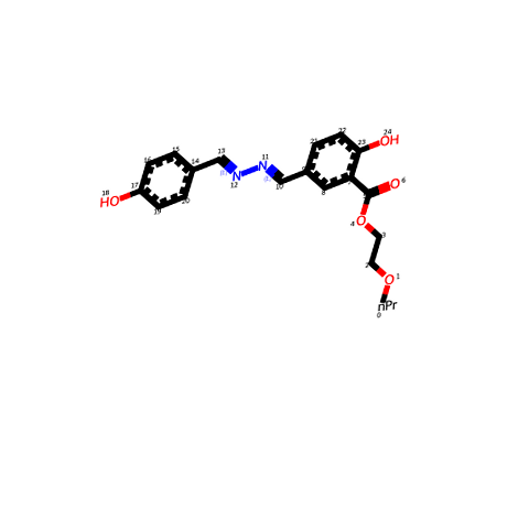 CCCOCCOC(=O)c1cc(/C=N/N=C/c2ccc(O)cc2)ccc1O